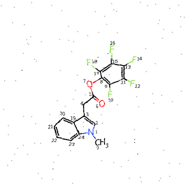 Cn1cc(CC(=O)Oc2c(F)c(F)c(F)c(F)c2F)c2ccccc21